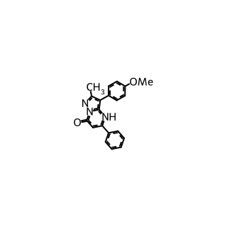 COc1ccc(-c2c(C)nn3c(=O)cc(-c4ccccc4)[nH]c23)cc1